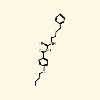 CCCCOc1ccc(C(=O)NC(=N)NCCCCc2ccccc2)cc1